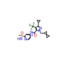 CS(=N)(=O)c1cc(NC(=O)c2c(C(F)(F)F)c(C3CC3)nn2CC2CC23CC3)ccn1